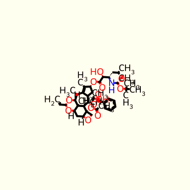 C=CC1O[C@H]2C[C@H]3OC[C@@]3(OC(C)=O)[C@H]3[C@H](OC(=O)c4ccccc4)[C@]4(C(C)(C)O)C[C@H](OC(=O)[C@@H](O)[C@H](CC(C)C)NC(=O)OC(C)(C)C)C(C)=C4[C@H](C)[C@H](O1)[C@]23C